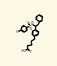 O=C(O)CCCCc1ccc(C(Cc2ccccc2)NS(=O)(=O)c2ccc(Cl)cc2)cc1